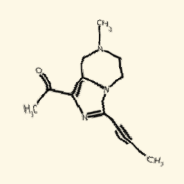 CC#Cc1nc(C(C)=O)c2n1CCN(C)C2